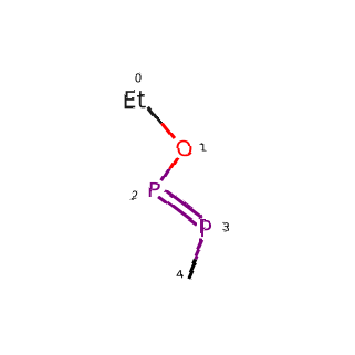 CCOP=PC